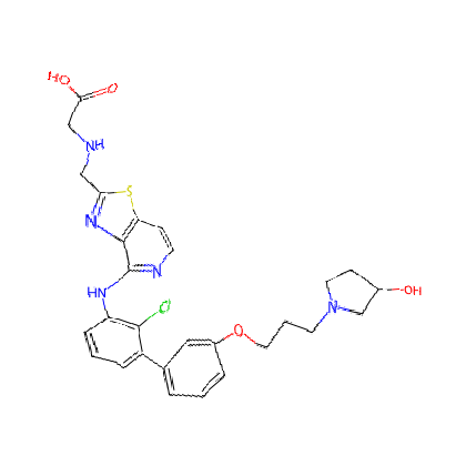 O=C(O)CNCc1nc2c(Nc3cccc(-c4cccc(OCCCN5CCC(O)C5)c4)c3Cl)nccc2s1